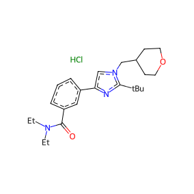 CCN(CC)C(=O)c1cccc(-c2cn(CC3CCOCC3)c(C(C)(C)C)n2)c1.Cl